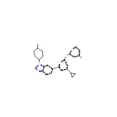 COC1CCC(n2cnc3ccc(-c4cc(C5CC5)cc(Nc5cc(C#N)ccn5)n4)cc32)CC1.Cl